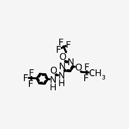 CC(F)(F)COc1cc(NC(=O)Nc2ccc(C(F)(F)F)cc2)nc(OCC(F)(F)F)n1